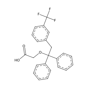 O=C(O)COC(Cc1cccc(C(F)(F)F)c1)(c1ccccc1)c1ccccc1